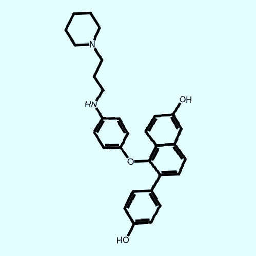 Oc1ccc(-c2ccc3cc(O)ccc3c2Oc2ccc(NCCCN3CCCCC3)cc2)cc1